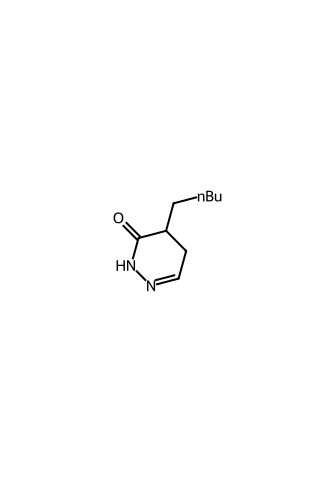 CCCCCC1CC=NNC1=O